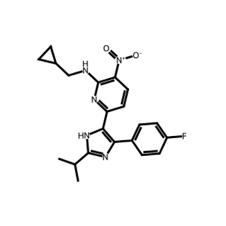 CC(C)c1nc(-c2ccc(F)cc2)c(-c2ccc([N+](=O)[O-])c(NCC3CC3)n2)[nH]1